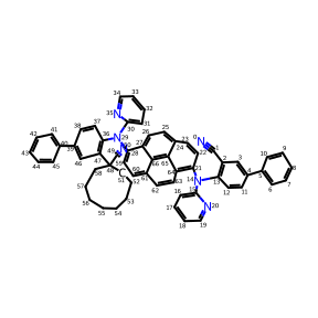 N#Cc1cc(-c2ccccc2)ccc1N(c1ccccn1)c1ccc2ccc3c(N(c4ccccn4)c4ccc(-c5ccccc5)cc4C4(C#N)CCCCCCCC4)ccc4ccc1c2c43